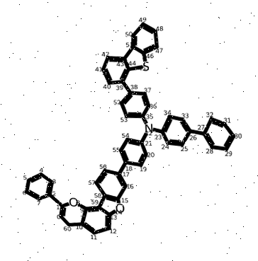 C1=C(c2ccccc2)Oc2c(ccc3oc4cc(-c5ccc(N(c6ccc(-c7ccccc7)cc6)c6ccc(-c7cccc8c7sc7ccccc78)cc6)cc5)ccc4c23)C1